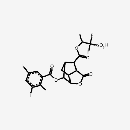 CC(OC(=O)C1C2CC3C(OC(=O)C31)C2OC(=O)c1cc(I)cc(I)c1I)C(F)(F)S(=O)(=O)O